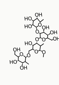 CO[C@H]1OC(CO[C@@H]2OC(CO)[C@@H](O)[C@H](O)C2C)[C@H](O)[C@H](O[C@@H]2OC(CO)[C@H](O)[C@H](O)C2O[C@@H]2OC(C)[C@@H](O)[C@H](O)C2O)C1C